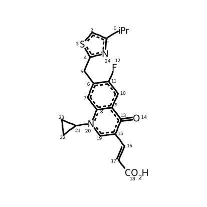 CC(C)c1csc(Cc2cc3c(cc2F)c(=O)c(/C=C/C(=O)O)cn3C2CC2)n1